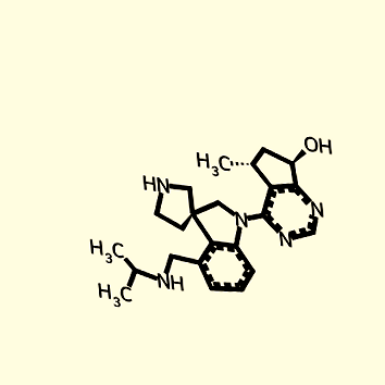 CC(C)NCc1cccc2c1[C@@]1(CCNC1)CN2c1ncnc2c1[C@H](C)C[C@H]2O